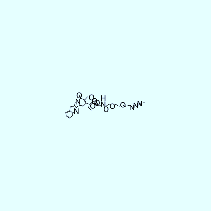 CC[C@@]1(OC(=O)CNC(=O)COCCOCCN=[N+]=[N-])C(=O)OCc2c1cc1n(c2=O)Cc2cc3ccccc3nc2-1